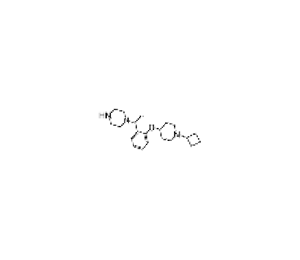 [CH2]C(c1ccccc1OC1CCN(C2CCC2)CC1)N1CCNCC1